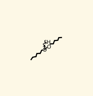 CCCCCCOP(OCCCCCC)SS